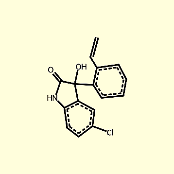 C=Cc1ccccc1C1(O)C(=O)Nc2ccc(Cl)cc21